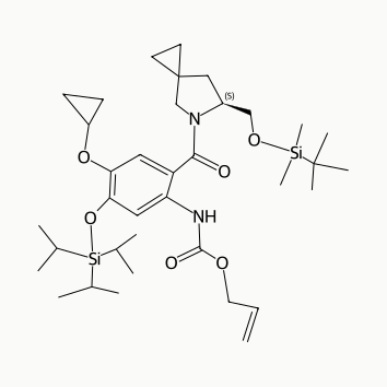 C=CCOC(=O)Nc1cc(O[Si](C(C)C)(C(C)C)C(C)C)c(OC2CC2)cc1C(=O)N1CC2(CC2)C[C@H]1CO[Si](C)(C)C(C)(C)C